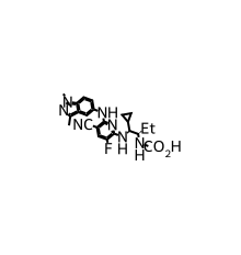 CC[C@H](NC(=O)O)[C@@H](Nc1nc(Nc2ccc3c(c2)c(C)nn3C)c(C#N)cc1F)C1CC1